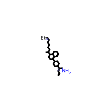 C=C/C=C(\CN)C1CCC(C2=C3C=CCCC3C(C(C)CCCC/C=C\CC)CC2)CC1